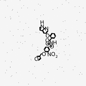 O=C(NS(=O)(=O)c1ccc(OCc2ccoc2)c([N+](=O)[O-])c1)c1ccccc1Oc1cnc2[nH]ccc2c1